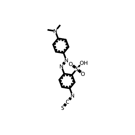 CN(C)c1ccc(N=Nc2ccc(N=C=S)cc2S(=O)(=O)O)cc1